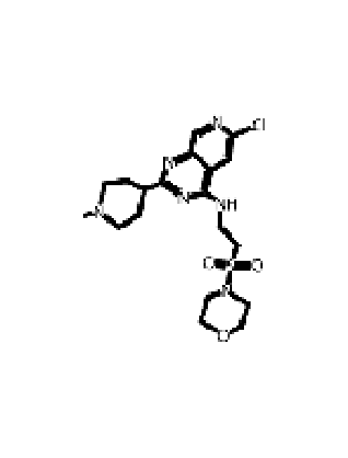 CN1CCC(c2nc(NCCS(=O)(=O)N3CCOCC3)c3cc(Cl)ncc3n2)CC1